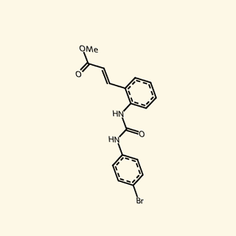 COC(=O)/C=C/c1ccccc1NC(=O)Nc1ccc(Br)cc1